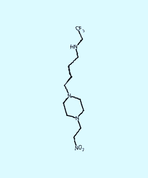 O=[N+]([O-])CCN1CCN(CCCCNCC(F)(F)F)CC1